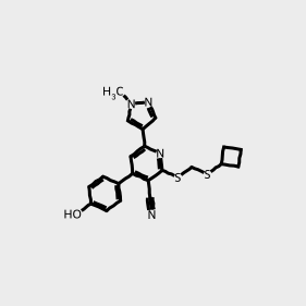 Cn1cc(-c2cc(-c3ccc(O)cc3)c(C#N)c(SCSC3CCC3)n2)cn1